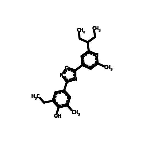 CCc1cc(-c2noc(-c3cc(C)nc(C(CC)CC)c3)n2)cc(C)c1O